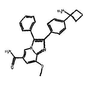 COc1cc(C(N)=O)cn2c(-c3ccccc3)c(-c3ccc(C4(N)CCC4)cc3)nc12